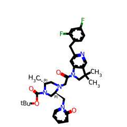 C[C@@H]1CN(CC(=O)N2CC(C)(C)c3cnc(Cc4ccc(F)cc4F)cc32)[C@@H](Cn2ccccc2=O)CN1C(=O)OC(C)(C)C